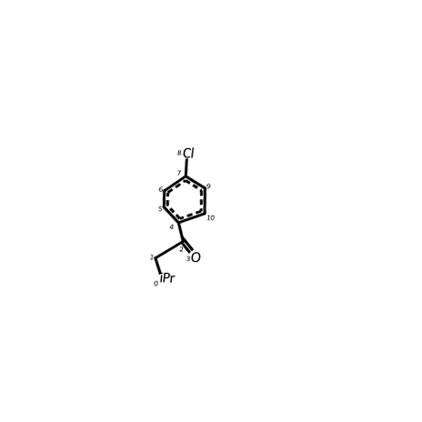 CC(C)CC(=O)c1ccc(Cl)cc1